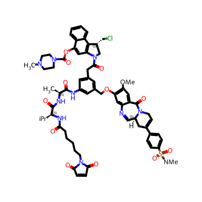 CNS(=O)(=O)c1ccc(C2=CCN3C(=O)c4cc(OC)c(OCc5cc(CC(=O)N6C[C@@H](CCl)c7c6cc(OC(=O)N6CCN(C)CC6)c6ccccc76)cc(NC(=O)[C@H](C)NC(=O)[C@@H](NC(=O)CCCCCN6C(=O)C=CC6=O)C(C)C)c5)cc4N=C[C@@H]3C2)cc1